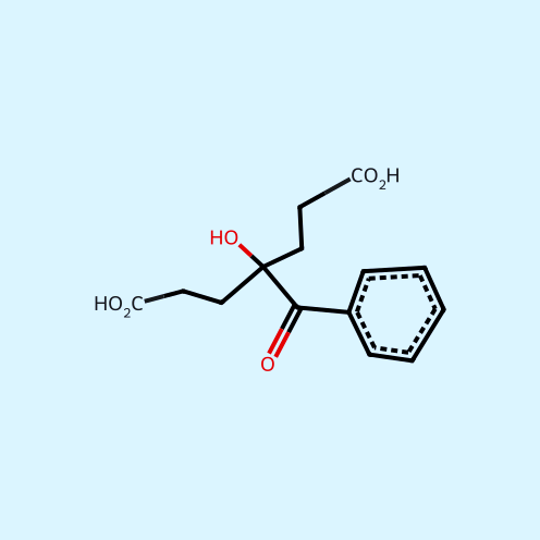 O=C(O)CCC(O)(CCC(=O)O)C(=O)c1ccccc1